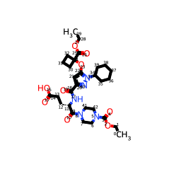 CCOC(=O)N1CCN(C(=O)[C@H](CCC(=O)O)NC(=O)c2cc(OC3(C(=O)OCC)CCC3)n(C3CCCCC3)n2)CC1